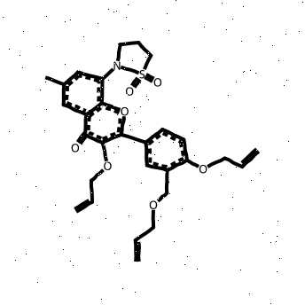 C=CCOCc1cc(-c2oc3c(N4CCCS4(=O)=O)cc(C)cc3c(=O)c2OCC=C)ccc1OCC=C